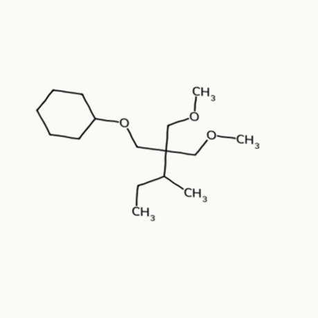 CCC(C)C(COC)(COC)COC1CCCCC1